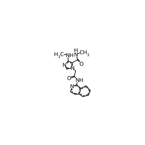 CNC(=O)c1c(NC)ncn1CC(=O)Nc1nccc2ccccc12